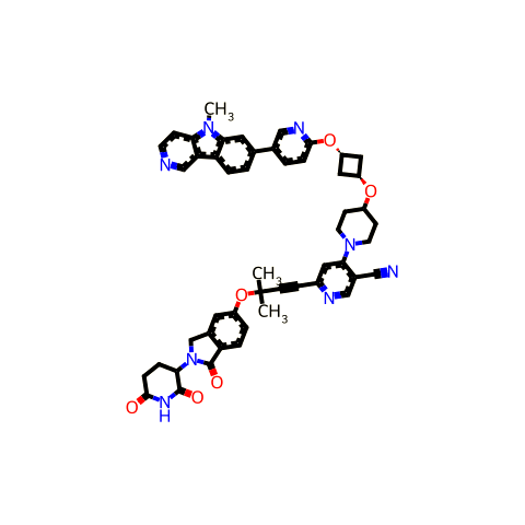 Cn1c2ccncc2c2ccc(-c3ccc(O[C@H]4C[C@H](OC5CCN(c6cc(C#CC(C)(C)Oc7ccc8c(c7)CN(C7CCC(=O)NC7=O)C8=O)ncc6C#N)CC5)C4)nc3)cc21